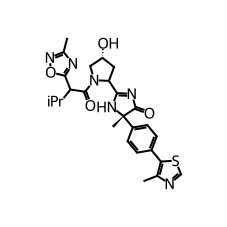 Cc1noc(C(C(=O)N2C[C@H](O)CC2C2=NC(=O)[C@](C)(c3ccc(-c4scnc4C)cc3)N2)C(C)C)n1